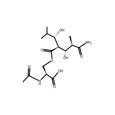 CC(=O)N[C@@H](CSC(=O)[C@H]([C@@H](O)[C@@H](C)C(N)=O)[C@@H](O)C(C)C)C(=O)O